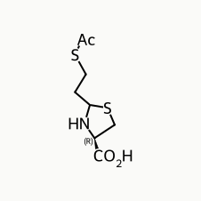 CC(=O)SCCC1N[C@H](C(=O)O)CS1